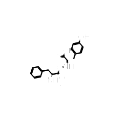 N[C@@H](Cc1ccccc1)C(=O)ON[C@@H](Cc1ccc(O)cc1)C(=O)O